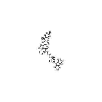 NC(CCCCNC(=O)OCC1c2ccccc2-c2ccccc21)C(=O)N1CCCC1c1cncc(C(=O)c2ccc(F)cc2)c1